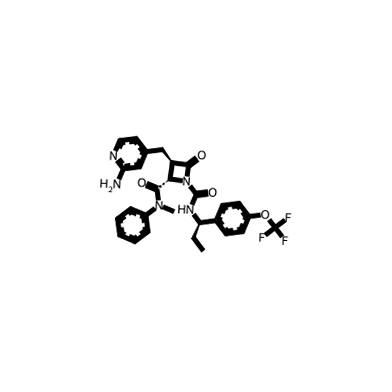 CC[C@@H](NC(=O)N1C(=O)[C@H](Cc2ccnc(N)c2)[C@H]1C(=O)N(C)c1ccccc1)c1ccc(OC(F)(F)F)cc1